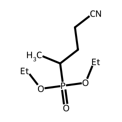 CCOP(=O)(OCC)C(C)CCC#N